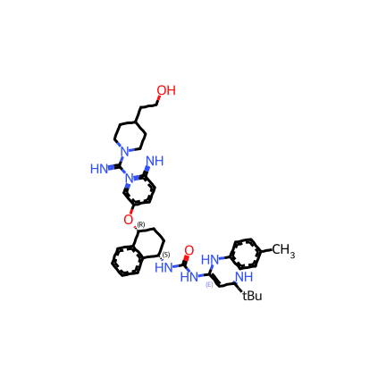 Cc1ccc(N/C(=C\C(=N)C(C)(C)C)NC(=O)N[C@H]2CC[C@@H](Oc3ccc(=N)n(C(=N)N4CCC(CCO)CC4)c3)c3ccccc32)cc1